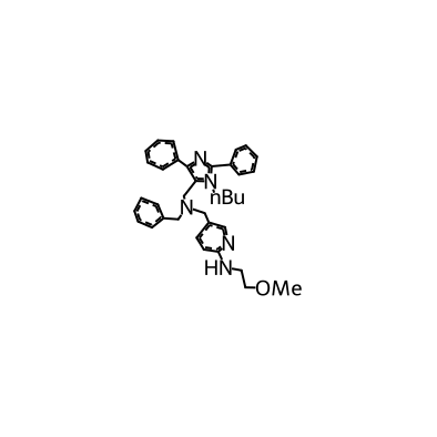 CCCCn1c(-c2ccccc2)nc(-c2ccccc2)c1CN(Cc1ccccc1)Cc1ccc(NCCOC)nc1